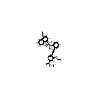 CCOc1cc(C(=O)O)ncc1C#Cc1ccccc1NS(=O)(=O)c1ccc(OC)c2ccccc12